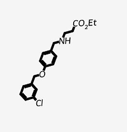 CCOC(=O)CCNCc1ccc(OCc2cccc(Cl)c2)cc1